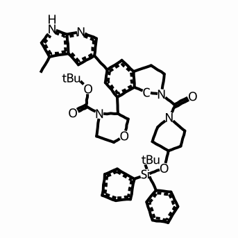 Cc1c[nH]c2ncc(-c3cc4c(c(C5COCCN5C(=O)OC(C)(C)C)c3)CN(C(=O)N3CCC(O[Si](c5ccccc5)(c5ccccc5)C(C)(C)C)CC3)CC4)cc12